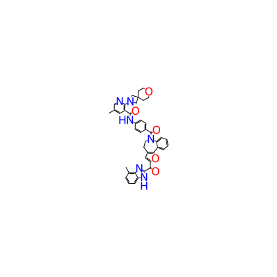 Cc1cnc(N2CC3(CCOCC3)C2)c(C(=O)Nc2ccc(C(=O)N3CCc4cc(C(=O)c5nc6c(C)cccc6[nH]5)oc4-c4ccccc43)cc2)c1